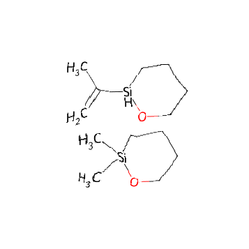 C=C(C)[SiH]1CCCCO1.C[Si]1(C)CCCCO1